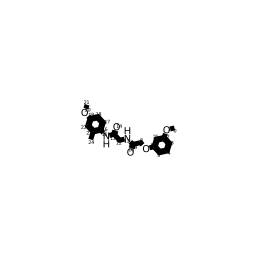 COc1cccc(OCC(=O)NCC(=O)Nc2ccc(OC)cc2C)c1